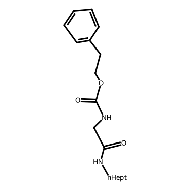 CCCCCCCNC(=O)CNC(=O)OCCc1ccccc1